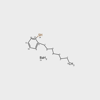 CCCCCCCCc1ccccc1S.[BaH2]